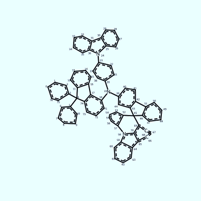 c1ccc(C2(c3ccccc3)c3ccccc3-c3c(N(c4ccc(-n5c6ccccc6c6ccccc65)cc4)c4ccc5c(c4)C4(c6ccccc6-5)c5ccccc5-n5c6ccccc6c6cccc4c65)cccc32)cc1